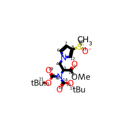 COC(=O)C(Cn1ccc([S+](C)[O-])c1)N(C(=O)OC(C)(C)C)C(=O)OC(C)(C)C